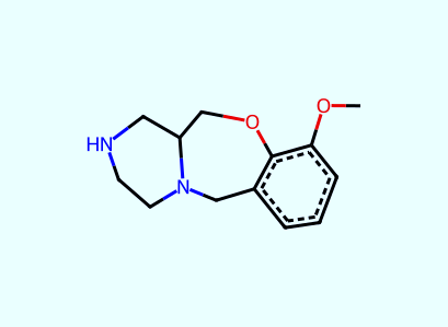 COc1cccc2c1OCC1CNCCN1C2